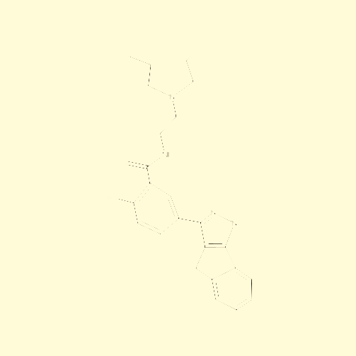 CCCN(CCC)CCNC(=O)c1cc(-c2n[nH]c3c2Cc2ccccc2-3)ccc1O